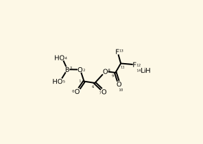 O=C(OB(O)O)C(=O)OC(=O)C(F)F.[LiH]